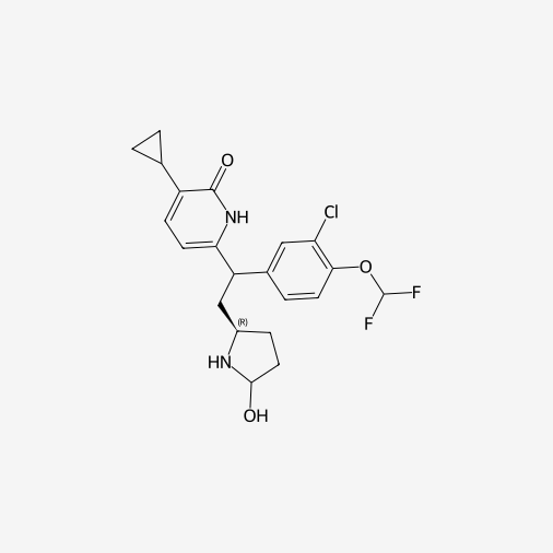 O=c1[nH]c(C(C[C@H]2CCC(O)N2)c2ccc(OC(F)F)c(Cl)c2)ccc1C1CC1